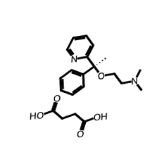 CN(C)CCO[C@@](C)(c1ccccc1)c1ccccn1.O=C(O)CCC(=O)O